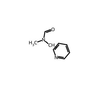 CN(C)C=O.c1ccncc1